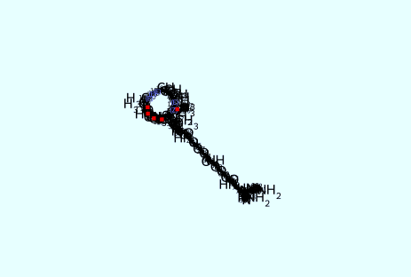 CO[C@H]1C[C@@H]2CC[C@@H](C)[C@@](O)(O2)C(=O)C(=O)N2CCCC[C@H]2C(=O)O[C@H]([C@H](N)C[C@@H]2CC[C@H](n3cc(COC(=O)NCCOCCOCCOCCC(=O)NCCOCCOCCOCCC(=O)NCCCCn4nc(-c5cc6cc(N)ccc6[nH]5)c5c(N)ncnc54)nn3)[C@H](OC)C2)C/C(=N/OCc2ccccc2)[C@H](C)/C=C(\C)[C@@H](O)[C@@H](O)C(=O)[C@H](C)C[C@H](C)/C=C/C=C/C=C/1C